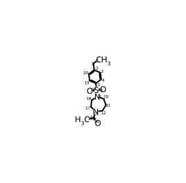 CCc1ccc(S(=O)(=O)N2CCCN(C(C)=O)CC2)cc1